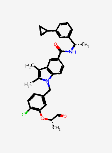 Cc1c(C)n(Cc2ccc(Cl)c(O[C@@H](C)C=O)c2)c2ccc(C(=O)N[C@@H](C)c3cccc(C4CC4)c3)cc12